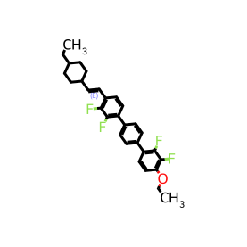 CCOc1ccc(-c2ccc(-c3ccc(/C=C/C4CCC(CC)CC4)c(F)c3F)cc2)c(F)c1F